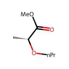 CCCO[C@H](C)C(=O)OC